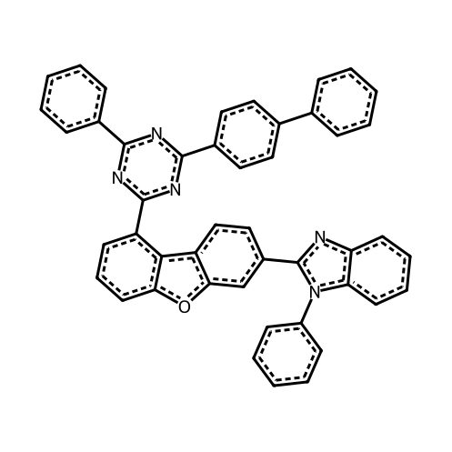 c1ccc(-c2ccc(-c3nc(-c4ccccc4)nc(-c4cccc5oc6cc(-c7nc8ccccc8n7-c7ccccc7)ccc6c45)n3)cc2)cc1